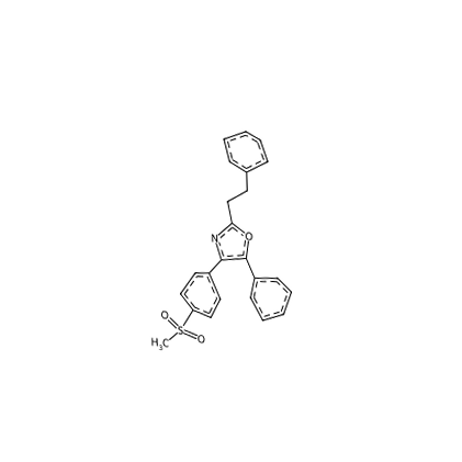 CS(=O)(=O)c1ccc(-c2nc(CCc3ccccc3)oc2-c2ccccc2)cc1